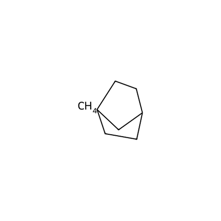 C.C1CC2CCC1C2